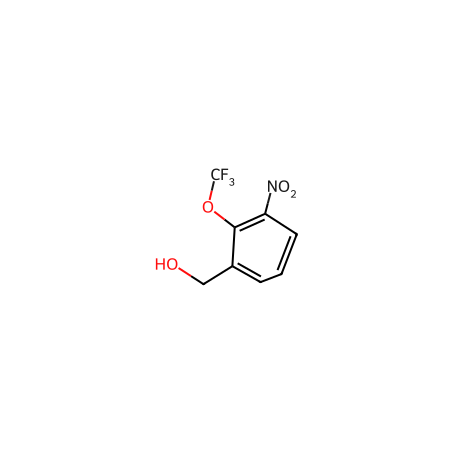 O=[N+]([O-])c1cccc(CO)c1OC(F)(F)F